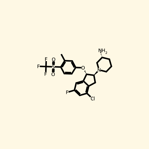 Cc1cc(O[C@H]2c3cc(F)cc(Cl)c3C[C@@H]2N2CCC[C@@H](N)C2)ccc1S(=O)(=O)C(F)(F)F